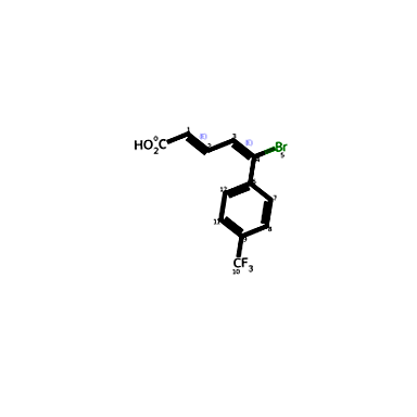 O=C(O)/C=C/C=C(/Br)c1ccc(C(F)(F)F)cc1